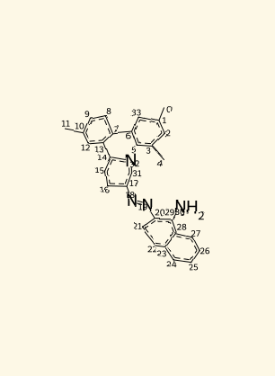 Cc1cc(C)cc(-c2ccc(C)cc2-c2ccc(N=Nc3ccc4ccccc4c3N)cn2)c1